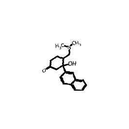 CN(C)CC1CCC(=O)CC1(O)c1ccc2ccccc2c1